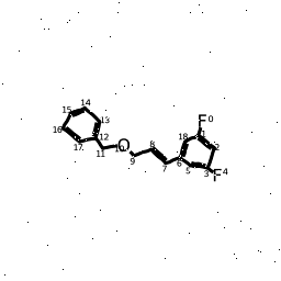 Fc1cc(F)cc(C=CCOCc2ccccc2)c1